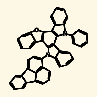 c1ccc(-n2c3ccccc3c3c4oc5ccccc5c4c4c(c5ccccc5n4-c4ccc5c6c(cccc46)-c4ccccc4-5)c32)cc1